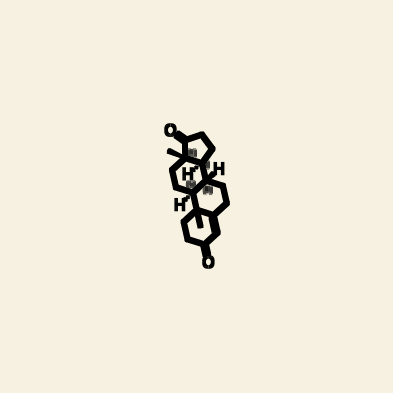 CC12CCC(=O)C=C1CC[C@@H]1[C@@H]2CC[C@]2(C)C(=O)CC[C@@H]12